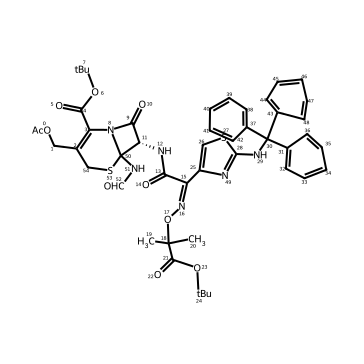 CC(=O)OCC1=C(C(=O)OC(C)(C)C)N2C(=O)[C@H](NC(=O)/C(=N\OC(C)(C)C(=O)OC(C)(C)C)c3csc(NC(c4ccccc4)(c4ccccc4)c4ccccc4)n3)C2(NC=O)SC1